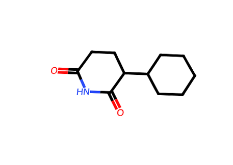 O=C1CCC(C2CCCCC2)C(=O)N1